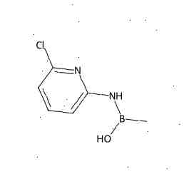 CB(O)Nc1cccc(Cl)n1